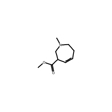 COC(=O)C1C=CCCN(C)C1